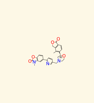 Cc1c([C@@H]2CN(Cc3ccc(-c4ccc5oc(=O)n(C)c5c4)nc3)CCO2)ccc2c1COC2=O